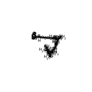 CCc1c2c(nc3ccc(OC)cc13)-c1cc([C@@](O)(CC)C(=O)NCCNC(=O)OCc3ccc(NC(=O)[C@H](CCCNC(N)=O)NC(=O)[C@@H](NC(=O)CCOCCOCCOCCOCCNC(=O)CCC(=O)N4Cc5ccccc5C#Cc5ccccc54)C(C)C)cc3)c(COC(C)=O)c(=O)n1C2